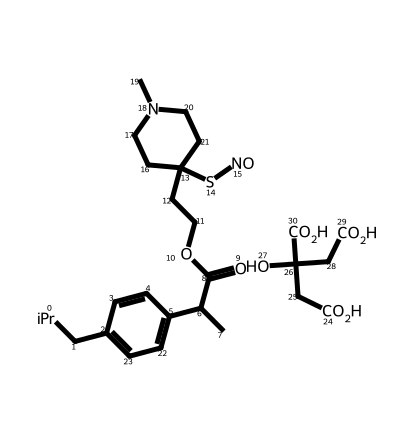 CC(C)Cc1ccc(C(C)C(=O)OCCC2(SN=O)CCN(C)CC2)cc1.O=C(O)CC(O)(CC(=O)O)C(=O)O